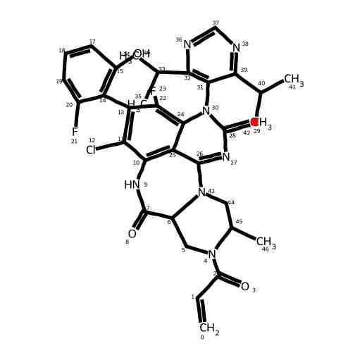 C=CC(=O)N1CC2C(=O)Nc3c(Cl)c(-c4c(O)cccc4F)c(F)c4c3c(nc(=O)n4-c3c(C(C)C)ncnc3C(C)C)N2CC1C